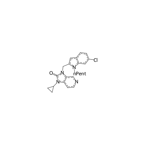 CCCCCn1c(Cn2c(=O)n(C3CC3)c3ccncc32)cc2ccc(Cl)cc21